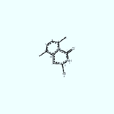 Cc1ccc(C)c2c(=O)[nH]c(Cl)cc12